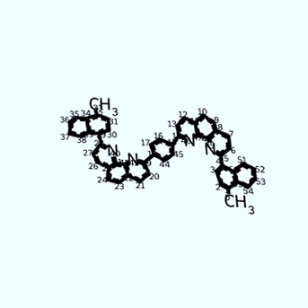 Cc1ccc(-c2ccc3ccc4ccc(-c5ccc(-c6ccc7ccc8ccc(-c9ccc(C)c%10ccccc9%10)nc8c7n6)cc5)nc4c3n2)c2ccccc12